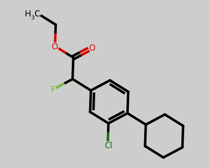 CCOC(=O)C(F)c1ccc(C2CCCCC2)c(Cl)c1